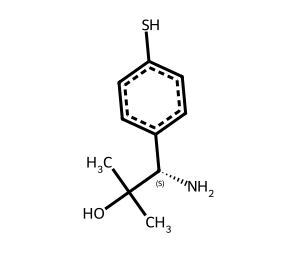 CC(C)(O)[C@@H](N)c1ccc(S)cc1